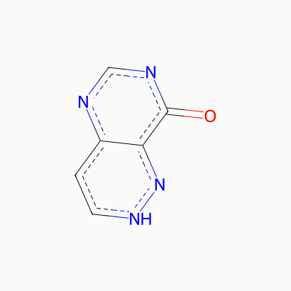 O=c1ncnc2cc[nH]nc1-2